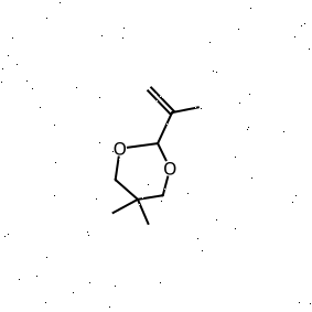 C=C(C)C1OCC(C)(C)CO1